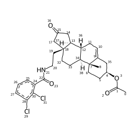 CC(=O)O[C@H]1CC[C@@]2(C)C(=CC[C@H]3[C@@H]4CC(=O)C[C@@]4(CCNC(=O)c4cccc(Cl)c4Cl)CC[C@@H]32)C1